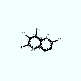 Fc1ccc2nc(F)c(F)c(F)c2n1